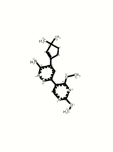 COc1ncc(-c2cc(C3=CC(C)(C)CC3)c(N)nn2)c(OC)n1